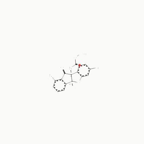 CC(C)(C)OC(=O)N[C@]12C(=O)c3c(N)cccc3[C@@]1(O)Oc1cc(Br)ccc12